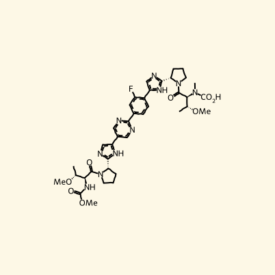 COC(=O)N[C@H](C(=O)N1CCC[C@H]1c1ncc(-c2cnc(-c3ccc(-c4cnc([C@@H]5CCCN5C(=O)[C@H]([C@@H](C)OC)N(C)C(=O)O)[nH]4)c(F)c3)nc2)[nH]1)[C@@H](C)OC